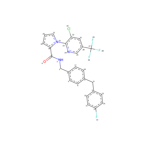 O=C(NCc1ccc(Cc2ccc(F)cc2)cc1)c1cccn1-c1ncc(C(F)(F)F)cc1Cl